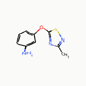 Cc1nsc(Oc2cccc(N)c2)n1